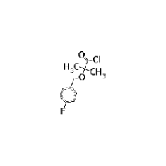 CC(C)(OCc1ccc(F)cc1)C(=O)Cl